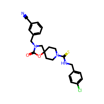 N#Cc1cccc(CN2CC3(CCN(C(=S)NCc4ccc(Cl)cc4)CC3)OC2=O)c1